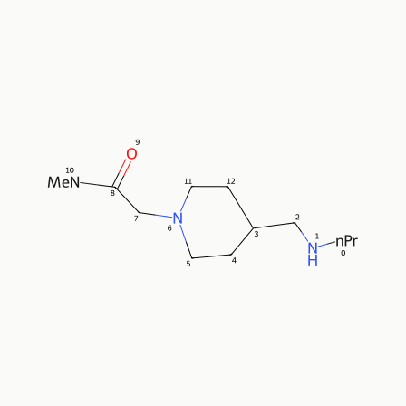 CCCNCC1CCN(CC(=O)NC)CC1